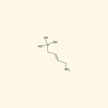 NC/C=C/C[Si](O)(O)O